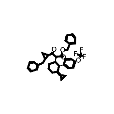 O=C(OCc1ccccc1)C(C(=O)C1CC1Cc1ccccc1)[C@@H]1CCCC(=C2CC2)[C@H]1c1ccc(OC(F)(F)F)cc1